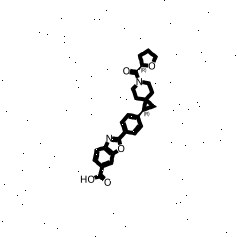 O=C(O)c1ccc2nc(-c3ccc([C@@H]4CC45CCN(C(=O)[C@H]4CCCO4)CC5)cc3)oc2c1